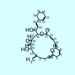 C=C1CCC[C@@H]2CC=C[C@@H](C/C=C\C(=O)OC([C@@H](O)/C=C/C3C=CCCC3)C[C@@H]3O[C@H]3[C@@H](O)C1)O2